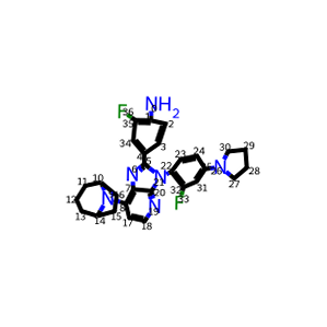 Nc1ccc(-c2nc3c(N4C5CCCC4CC5)ccnc3n2-c2ccc(N3CCCC3)cc2F)cc1F